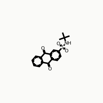 CC(C)(C)NS(=O)(=O)c1ccc2c(c1)C(=O)c1ccccc1C2=O